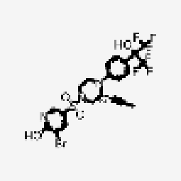 CC#C[C@H]1CN(S(=O)(=O)c2cnc(O)c(Br)c2)CCN1c1ccc(C(O)(C(F)(F)F)C(F)(F)F)cc1